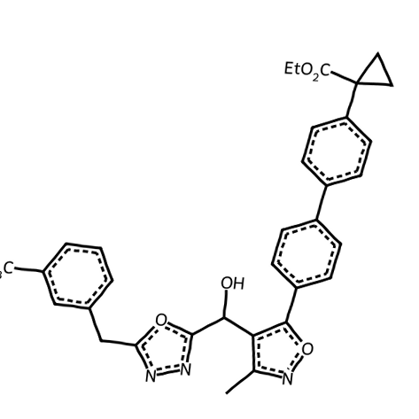 CCOC(=O)C1(c2ccc(-c3ccc(-c4onc(C)c4C(O)c4nnc(Cc5cccc(C(F)(F)F)c5)o4)cc3)cc2)CC1